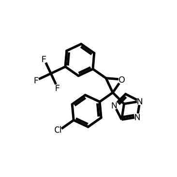 FC(F)(F)c1cccc(C2OC2(c2ccc(Cl)cc2)C2c3ncn2n3)c1